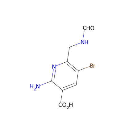 Nc1nc(CNC=O)c(Br)cc1C(=O)O